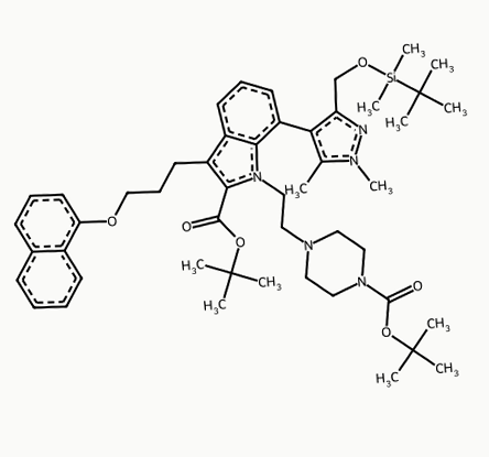 Cc1c(-c2cccc3c(CCCOc4cccc5ccccc45)c(C(=O)OC(C)(C)C)n(CCN4CCN(C(=O)OC(C)(C)C)CC4)c23)c(CO[Si](C)(C)C(C)(C)C)nn1C